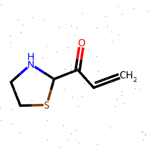 C=CC(=O)C1NCCS1